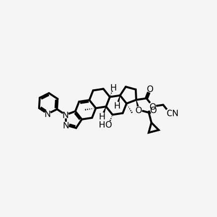 C[C@]12Cc3cnn(-c4ccccn4)c3C=C1CC[C@@H]1[C@@H]2[C@@H](O)C[C@@]2(C)[C@H]1CC[C@]2(OC(=O)C1CC1)C(=O)OCC#N